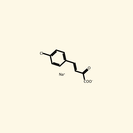 O=C([O-])C(=O)/C=C/c1ccc(Cl)cc1.[Na+]